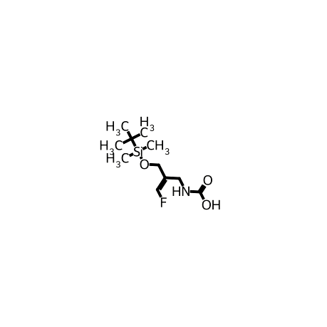 CC(C)(C)[Si](C)(C)OCC(=CF)CNC(=O)O